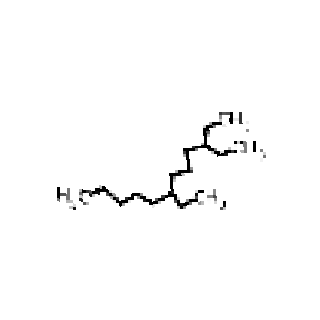 CCCCCC(CC)CCCC(CC)CC